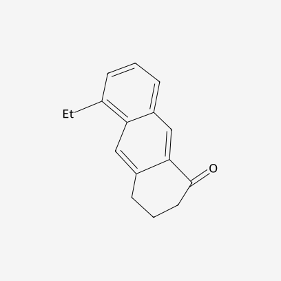 CCc1cccc2cc3c(cc12)CCCC3=O